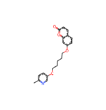 Cc1ccc(OCCCCCOc2ccc3ccc(=O)oc3c2)cn1